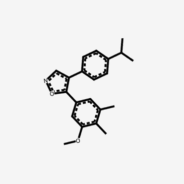 COc1cc(-c2oncc2-c2ccc(C(C)C)cc2)cc(C)c1C